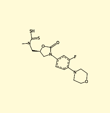 CN(C[C@@H]1CN(c2ccc(N3CCOCC3)c(F)c2)C(=O)O1)C(=S)S